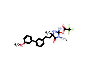 COc1cccc(-c2cccc(CCC3(C)NC(N)(OC(=O)C(F)(F)F)N(C)C3=O)c2)c1